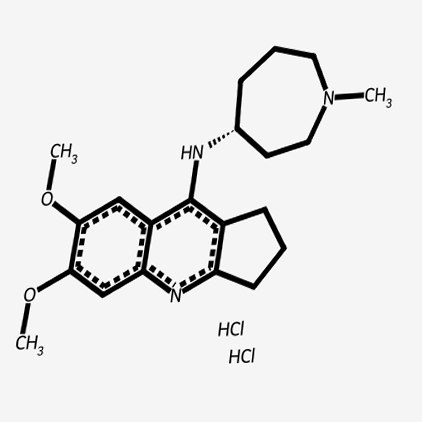 COc1cc2nc3c(c(N[C@@H]4CCCN(C)CC4)c2cc1OC)CCC3.Cl.Cl